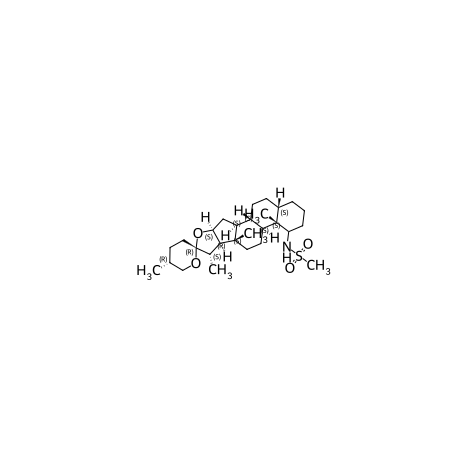 C[C@@H]1CC[C@@]2(OC1)O[C@H]1C[C@H]3[C@@H]4CC[C@@H]5CCCC(NS(C)(=O)=O)[C@]5(C)[C@H]4CC[C@]3(C)[C@H]1[C@@H]2C